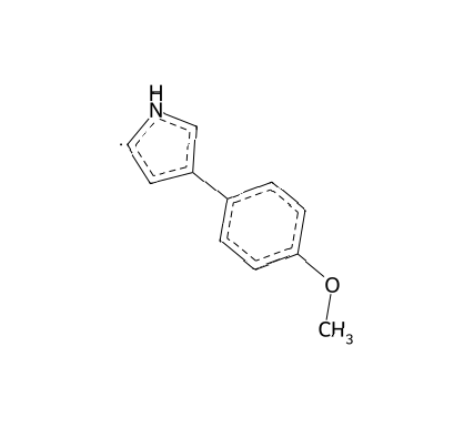 COc1ccc(-c2c[c][nH]c2)cc1